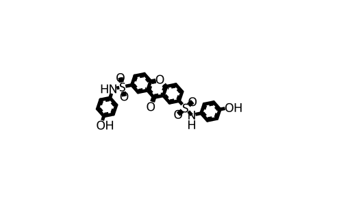 O=c1c2cc(S(=O)(=O)Nc3ccc(O)cc3)ccc2oc2ccc(S(=O)(=O)Nc3ccc(O)cc3)cc12